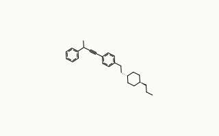 CCC[C@H]1CC[C@H](CCc2ccc(C#CC(C)c3ccccc3)cc2)CC1